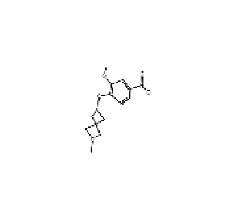 COc1cc([N+](=O)[O-])cnc1OC1CC2(C1)CN(C)C2